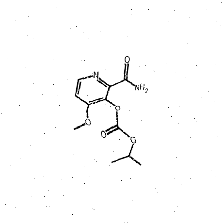 COc1ccnc(C(N)=O)c1OC(=O)OC(C)C